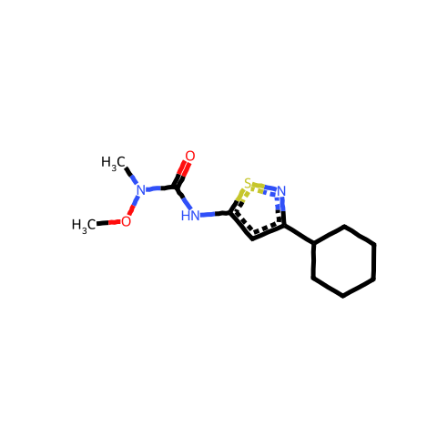 CON(C)C(=O)Nc1cc(C2CCCCC2)ns1